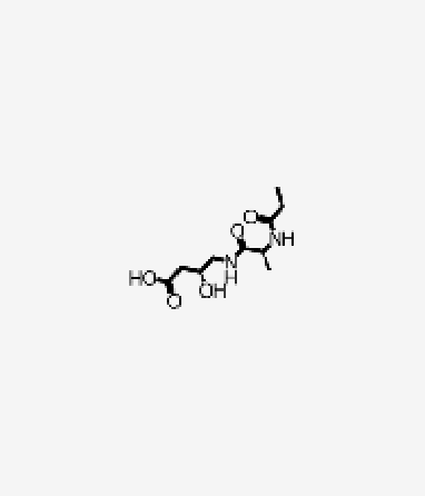 CCC(=O)N[C@@H](C)C(=O)NC[C@@H](O)CC(=O)O